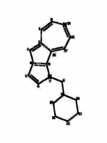 c1cc2cc3ccn(CC4CCCCC4)c3c-2ccn1